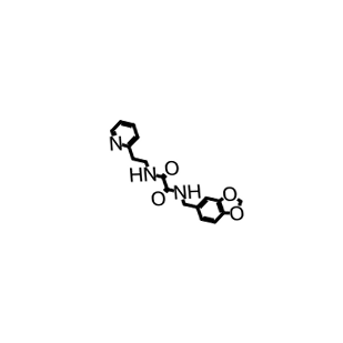 O=C(NCCc1ccccn1)C(=O)NCc1ccc2c(c1)OCO2